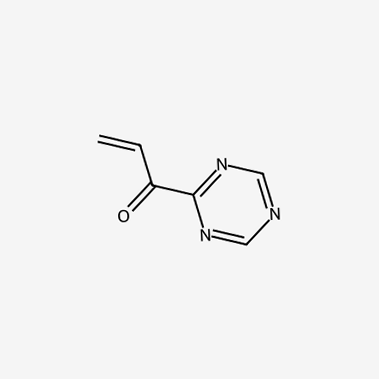 C=CC(=O)c1ncncn1